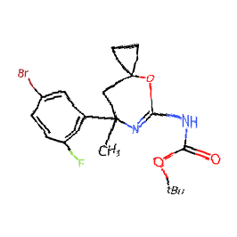 CC(C)(C)OC(=O)NC1=NC(C)(c2cc(Br)ccc2F)CC2(CC2)O1